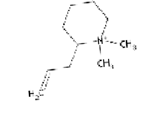 C=CCC1CCCC[N+]1(C)C